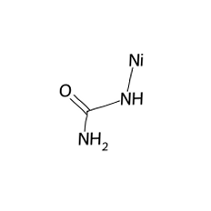 NC(=O)[NH][Ni]